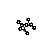 c1ccc(-c2ccc3c(c2)c2cc4c(cc2n3-c2ccccc2)c2cc(-c3ccccc3)ccc2n4-c2sc(-c3ccccc3)nc2-c2ccccc2)cc1